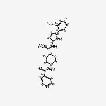 O=C(N[C@H]1CC[C@@H](C(O)NC2C=CN(c3ccccc3F)N2)CC1)c1ccncc1